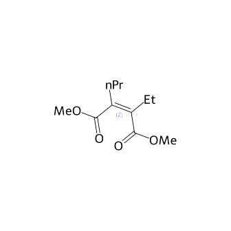 CCC/C(C(=O)OC)=C(\CC)C(=O)OC